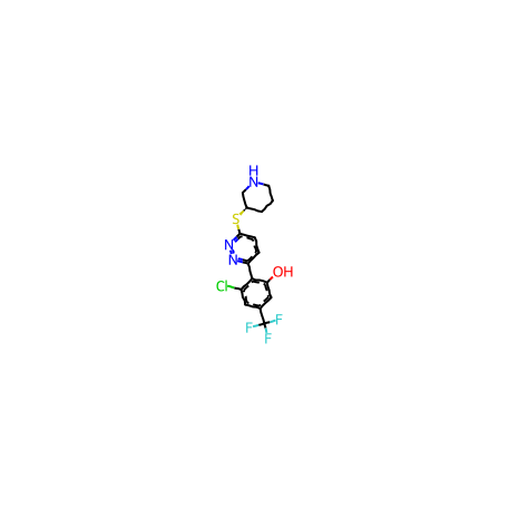 Oc1cc(C(F)(F)F)cc(Cl)c1-c1ccc(S[C@@H]2CCCNC2)nn1